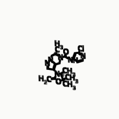 C=C1OC(C)(C)[C@H](C)N1c1cnn2c1CN(C(=O)Nc1ccnc(Cl)c1)[C@@H](C)C2